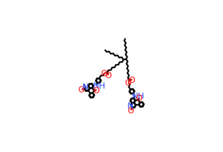 CCCCCCCCCC(CCCCCCCCC(=O)OCCc1ccc(Nc2ccc3c4c(cc(=O)n3C)-c3ccccc3C(=O)c24)cc1)C(CCCCCCCCC)CCCCCCCCC(=O)OCCc1ccc(Nc2ccc3c4c(cc(=O)n3C)-c3ccccc3C(=O)c24)cc1